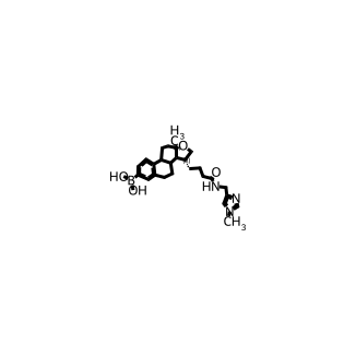 Cn1cnc(CNC(=O)CCC[C@H]2CO[C@@]3(C)CCC4c5ccc(B(O)O)cc5CCC4C23)c1